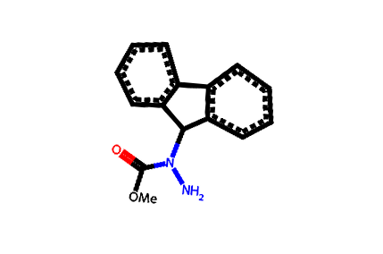 COC(=O)N(N)C1c2ccccc2-c2ccccc21